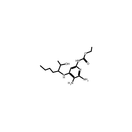 CCCCC(Nc1cc(NC(=O)OCC)nc(N)c1N)C(C)O